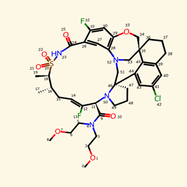 COCCN(CCOC)C(=O)[C@H]1/C(F)=C/C[C@H](C)[C@@H](C)S(=O)(=O)NC(=O)c2cc3c(cc2F)OC[C@@]24CCCc5cc(Cl)cc(c52)[C@]2(CCCN12)CN3C4